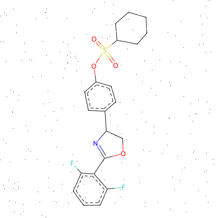 O=S(=O)(Oc1ccc(C2COC(c3c(F)cccc3F)=N2)cc1)C1CCCCC1